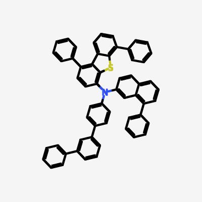 c1ccc(-c2cccc(-c3ccc(N(c4ccc5cccc(-c6ccccc6)c5c4)c4ccc(-c5ccccc5)c5c4sc4c(-c6ccccc6)cccc45)cc3)c2)cc1